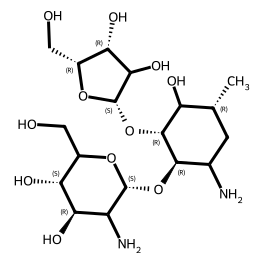 C[C@@H]1CC(N)[C@@H](O[C@H]2OC(CO)[C@@H](O)[C@H](O)C2N)[C@H](O[C@@H]2O[C@H](CO)[C@H](O)C2O)C1O